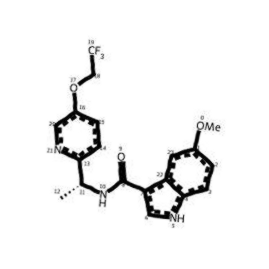 COc1ccc2[nH]cc(C(=O)N[C@H](C)c3ccc(OCC(F)(F)F)cn3)c2c1